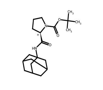 CC(C)(C)OC(=O)N1CCC[C@@H]1C(=O)NC12CC3CC(CC(C3)C1)C2